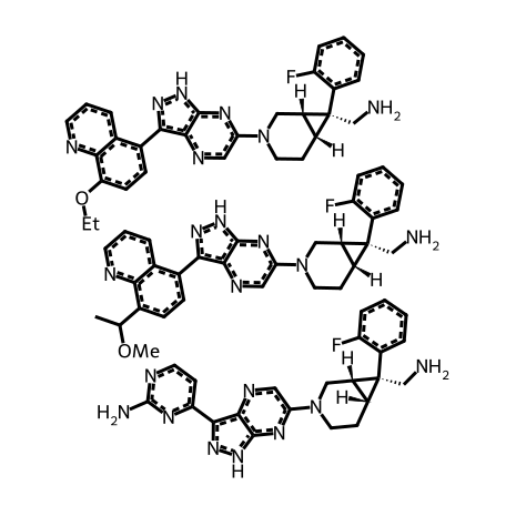 CCOc1ccc(-c2n[nH]c3nc(N4CC[C@@H]5[C@H](C4)[C@@]5(CN)c4ccccc4F)cnc23)c2cccnc12.COC(C)c1ccc(-c2n[nH]c3nc(N4CC[C@@H]5[C@H](C4)[C@@]5(CN)c4ccccc4F)cnc23)c2cccnc12.NC[C@]1(c2ccccc2F)[C@@H]2CCN(c3cnc4c(-c5ccnc(N)n5)n[nH]c4n3)C[C@@H]21